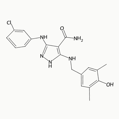 Cc1cc(CNc2[nH]nc(Nc3cccc(Cl)c3)c2C(N)=O)cc(C)c1O